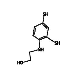 OCCNc1ccc(S)cc1S